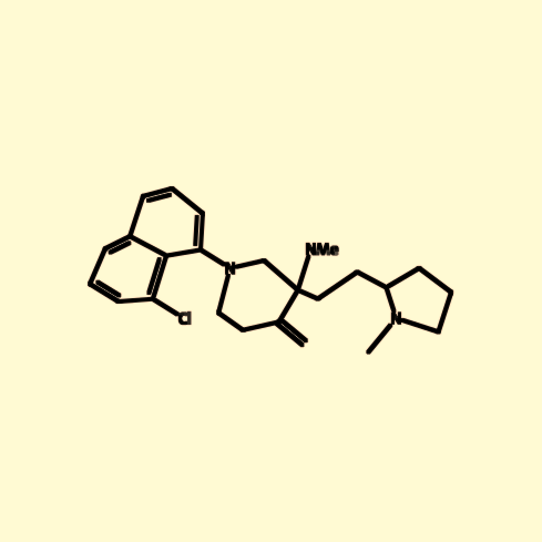 C=C1CCN(c2cccc3cccc(Cl)c23)CC1(CCC1CCCN1C)NC